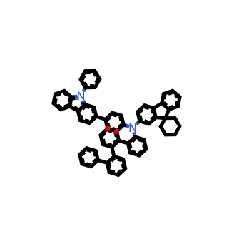 c1ccc(-c2ccccc2-c2ccccc2-c2ccccc2N(c2ccc(-c3ccc4c5ccccc5n(-c5ccccc5)c4c3)cc2)c2ccc3c(c2)C2(CCCCC2)c2ccccc2-3)cc1